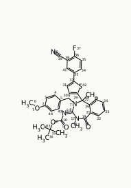 COc1ccc(CN2/C(=N/C(=O)OC(C)(C)C)N(C)C(=O)c3ccccc3C2(C)c2ccc(-c3ccc(F)c(C#N)c3)s2)cc1